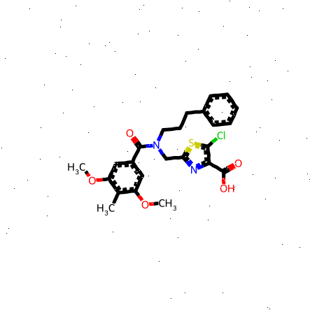 COc1cc(C(=O)N(CCCc2ccccc2)Cc2nc(C(=O)O)c(Cl)s2)cc(OC)c1C